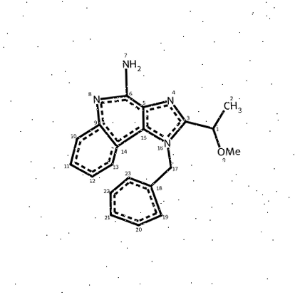 COC(C)c1nc2c(N)nc3ccccc3c2n1Cc1ccccc1